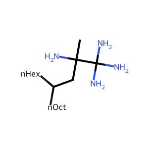 CCCCCCCCC(CCCCCC)CC(C)(N)C(N)(N)N